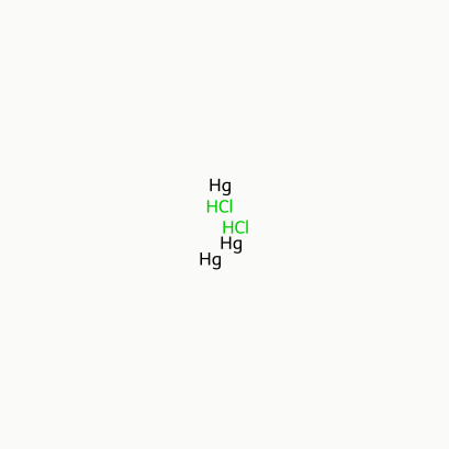 Cl.Cl.[Hg].[Hg].[Hg]